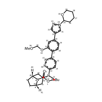 CCCCOC(=O)N1[C@@H]2CC[C@H]1CC(N(C)c1ccc(-c3ccc(-c4cnn(C5CCCCO5)c4)cc3OCOC)nn1)C2